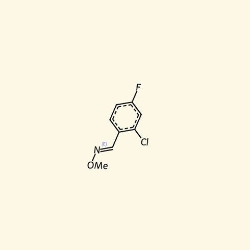 CO/N=C/c1ccc(F)cc1Cl